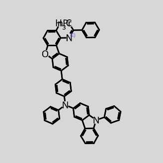 CCCc1ccc2oc3cc(-c4ccc(N(c5ccccc5)c5ccc6c(c5)c5ccccc5n6-c5ccccc5)cc4)ccc3c2c1/N=C(\C)c1ccccc1